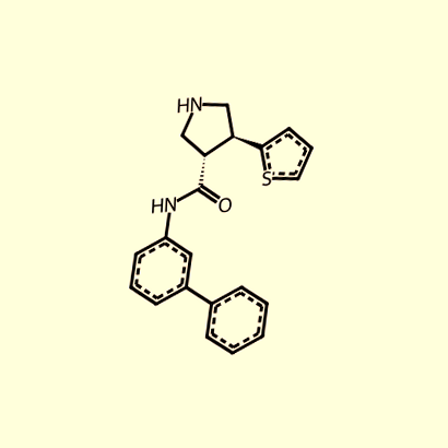 O=C(Nc1cccc(-c2ccccc2)c1)[C@@H]1CNC[C@H]1c1cccs1